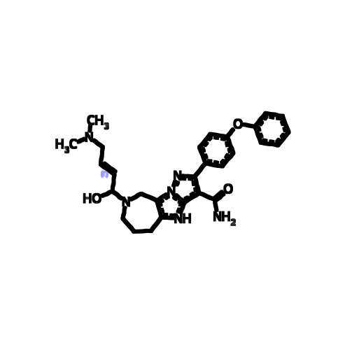 CN(C)C/C=C/C(O)N1CCCc2[nH]c3c(C(N)=O)c(-c4ccc(Oc5ccccc5)cc4)nn3c2C1